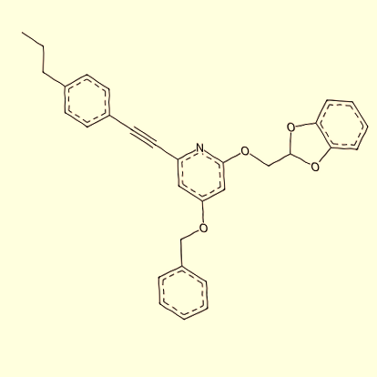 CCCc1ccc(C#Cc2cc(OCc3ccccc3)cc(OCC3Oc4ccccc4O3)n2)cc1